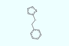 [CH](Cc1ccccc1)c1cccs1